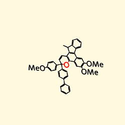 COc1ccc(C2(c3ccc(-c4ccccc4)cc3)C=Cc3c4c(c5cc(OC)c(OC)cc5c3O2)-c2ccccc2C4C)cc1